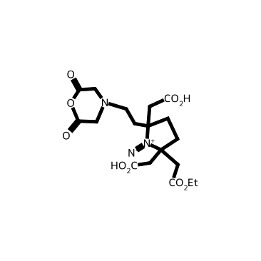 CCOC(=O)CC1(CC(=O)O)CCC(CCN2CC(=O)OC(=O)C2)(CC(=O)O)[N+]1=[N-]